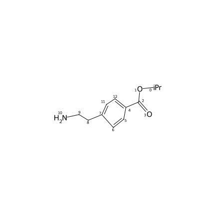 CC(C)OC(=O)c1ccc(CCN)cc1